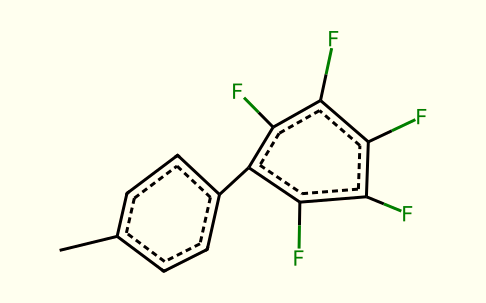 Cc1ccc(-c2c(F)c(F)c(F)c(F)c2F)cc1